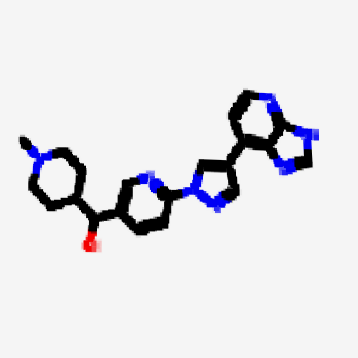 CN1CCC(C(O)c2ccc(-n3cc(-c4ccnc5[nH]cnc45)cn3)nc2)CC1